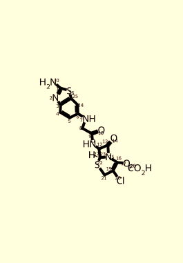 Nc1nc2ccc(NCC(=O)NC3C(=O)N4C(OC(=O)O)=C(Cl)CS[C@@H]34)cc2s1